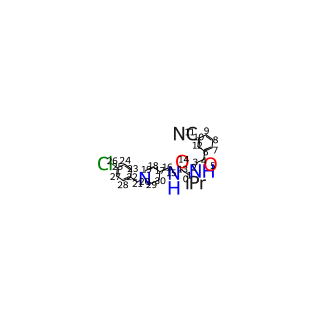 CC(C)C(NCC(=O)c1cccc(C#N)c1)C(=O)NCC1CCN(Cc2ccc(Cl)cc2)CC1